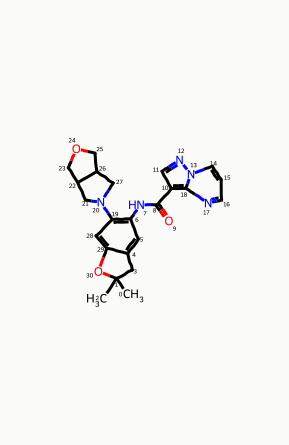 CC1(C)Cc2cc(NC(=O)c3cnn4cccnc34)c(N3CC4COCC4C3)cc2O1